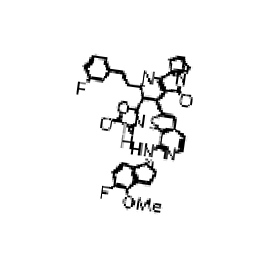 COc1c(F)ccc2c1CC[C@H]2Nc1nccc2cc(-c3c4c(nc(CCc5cccc(F)c5)c3-c3n[nH]c(=O)o3)C35CC(CN3C4=O)C5)sc12